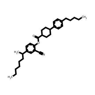 CCCCCCC(C)c1ccc(OC(=O)C2CCC(c3ccc(CCCCC)cc3)CC2)c(C#N)c1